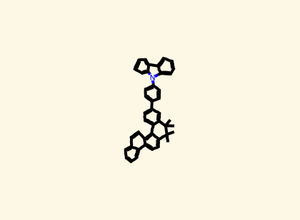 CC1(C)c2cc(-c3ccc(-n4c5ccccc5c5ccccc54)cc3)ccc2-c2c(ccc3c2ccc2ccccc23)C1(C)C